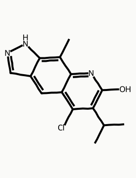 Cc1c2nc(O)c(C(C)C)c(Cl)c2cc2cn[nH]c12